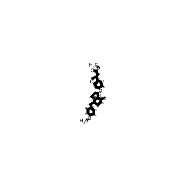 COC(=O)CC1COc2cc(O[C@@H]3CCc4c(Cc5ccc(OC)cc5)ccc(F)c43)ccc21